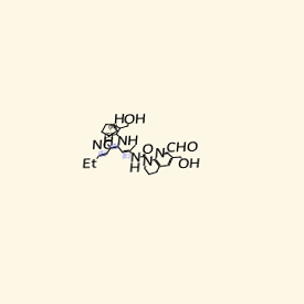 CC/C=C/C(C#N)=C(\C=C(/C)NC(=O)N1CCCc2cc(CO)c(C=O)nc21)NC1C(CO)[C@@H]2CC[C@H]1C2